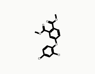 COC(=O)c1ccc(Oc2ccc(Cl)cc2Cl)cc1C(=O)OC